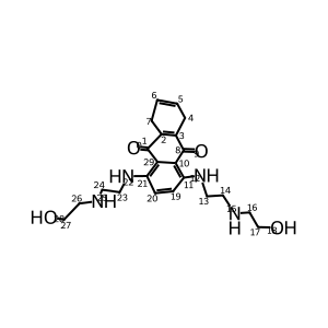 O=C1C2=C(CC=CC2)C(=O)c2c(NCCNCCO)ccc(NCCNCCO)c21